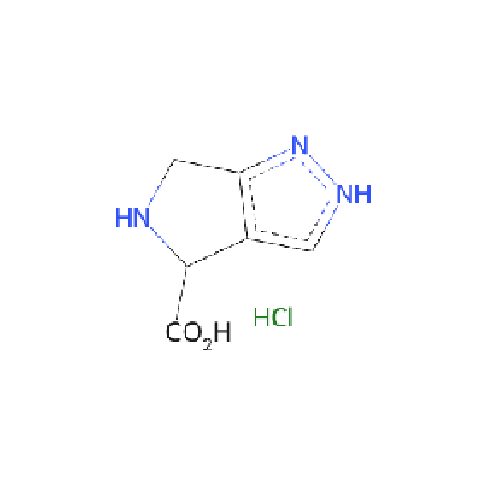 Cl.O=C(O)C1NCc2n[nH]cc21